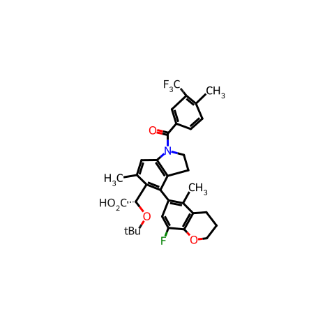 Cc1ccc(C(=O)N2CCc3c2cc(C)c([C@H](OC(C)(C)C)C(=O)O)c3-c2cc(F)c3c(c2C)CCCO3)cc1C(F)(F)F